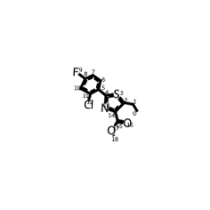 CCc1sc(-c2ccc(F)cc2Cl)nc1C(=O)OC